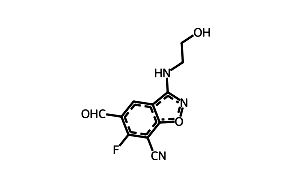 N#Cc1c(F)c(C=O)cc2c(NCCO)noc12